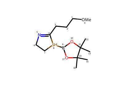 COCCCC1=NCC[SH]1B1OC(C)(C)C(C)(C)O1